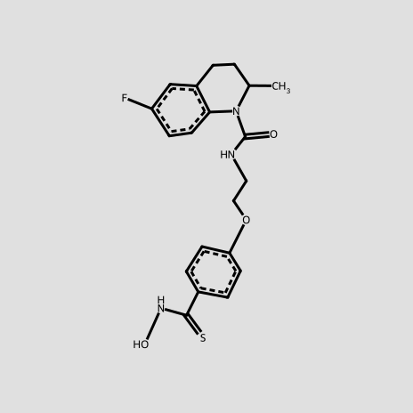 CC1CCc2cc(F)ccc2N1C(=O)NCCOc1ccc(C(=S)NO)cc1